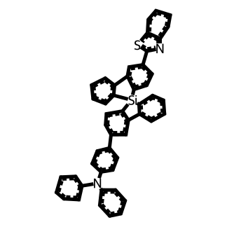 c1ccc(N(c2ccccc2)c2ccc(-c3ccc4c(c3)-c3ccccc3[Si]43c4ccccc4-c4cc(-c5nc6ccccc6s5)ccc43)cc2)cc1